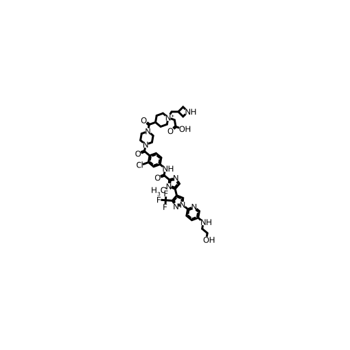 Cn1c(-c2cn(-c3ccc(NCCO)cn3)nc2C(F)(F)F)cnc1C(=O)Nc1ccc(C(=O)N2CCN(C(=O)C3CC[N+](CC(=O)O)(CC4CNC4)CC3)CC2)c(Cl)c1